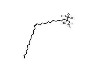 C=CCCCCCCCCCCC/C=C\CCCCCCCCCCC(O)(C[N+](C)(C)C)P(=O)(O)O